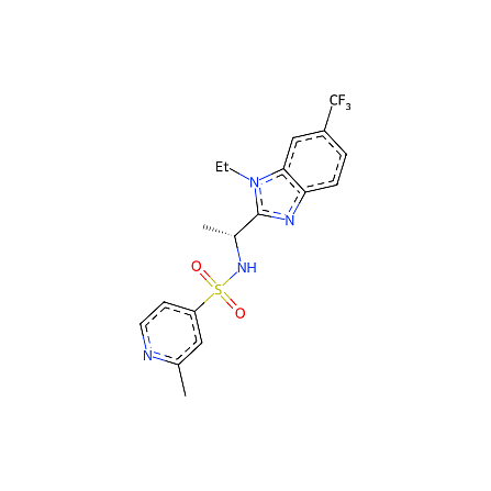 CCn1c([C@@H](C)NS(=O)(=O)c2ccnc(C)c2)nc2ccc(C(F)(F)F)cc21